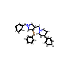 c1ccc(CN2CC(CN3CCC(c4ccccc4)CC3)C(Sc3ccccc3)C2)cc1